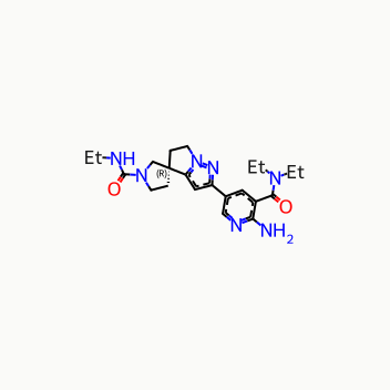 CCNC(=O)N1CC[C@@]2(CCn3nc(-c4cnc(N)c(C(=O)N(CC)CC)c4)cc32)C1